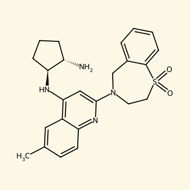 Cc1ccc2nc(N3CCS(=O)(=O)c4ccccc4C3)cc(N[C@H]3CCC[C@@H]3N)c2c1